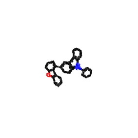 c1ccc(-n2c3ccccc3c3cc(-c4cccc5oc6ccccc6c45)ccc32)cc1